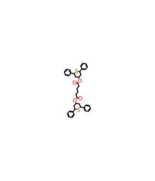 O=C(CCCCC(=O)OC1CC(c2ccccc2)SC(c2ccccc2)C1)OC1CC(c2ccccc2)SC(c2ccccc2)C1